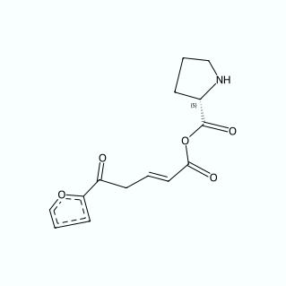 O=C(C=CCC(=O)c1ccco1)OC(=O)[C@@H]1CCCN1